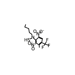 CCCCCN(S)c1c([N+](=O)[O-])cc(C(F)(F)F)c(C)c1[N+](=O)[O-]